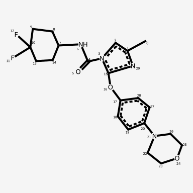 Cc1cn(C(=O)NC2CCC(F)(F)CC2)c(Oc2ccc(N3CCOCC3)cc2)n1